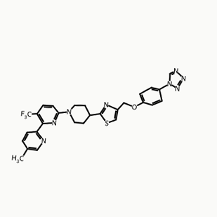 Cc1ccc(-c2nc(N3CCC(c4nc(COc5ccc(-n6cnnn6)cc5)cs4)CC3)ccc2C(F)(F)F)nc1